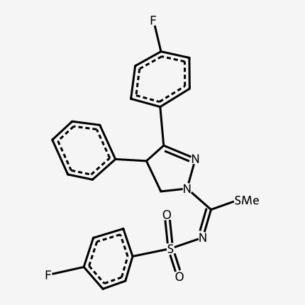 CSC(=NS(=O)(=O)c1ccc(F)cc1)N1CC(c2ccccc2)C(c2ccc(F)cc2)=N1